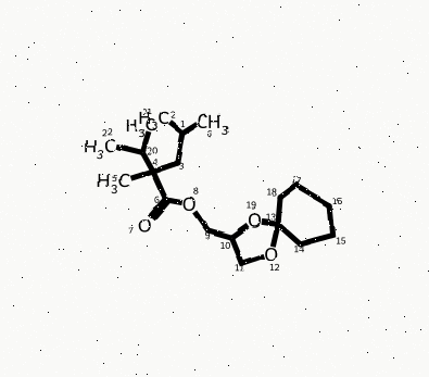 CC(C)CC(C)(C(=O)OCC1COC2(CCCCC2)O1)C(C)C